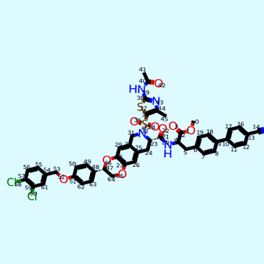 COC(=O)C(Cc1ccc(-c2ccc(C#N)cc2)cc1)NC(=O)[C@@H]1Cc2cc3c(cc2CN1S(=O)(=O)c1sc(NC(C)=O)nc1C)O[C@@H](c1ccc(OCc2ccc(Cl)c(Cl)c2)cc1)CO3